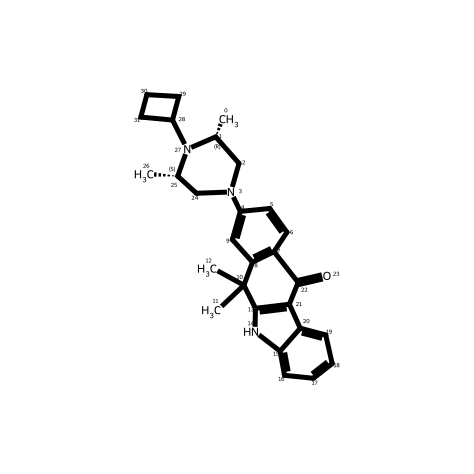 C[C@@H]1CN(c2ccc3c(c2)C(C)(C)c2[nH]c4ccccc4c2C3=O)C[C@H](C)N1C1CCC1